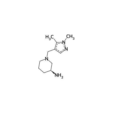 Cc1c(CN2CCC[C@H](N)C2)cnn1C